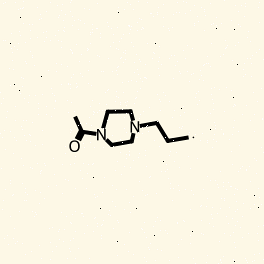 [CH2]CCN1CCN(C(C)=O)CC1